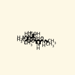 CC(C)CNC(=O)C1CNCC(C(=O)N[C@H](C(=O)N[C@@H](CN)C(=O)C(C)C)[C@H](C)O)C1